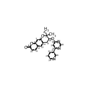 CC1(C)Oc2cc3oc(=O)ccc3cc2CC1Oc1cc(-c2cccnc2)ncn1